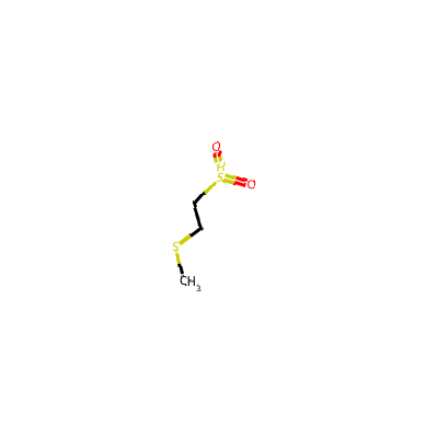 CSCC[SH](=O)=O